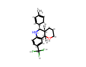 CC1=CCC([C@@H]2Nc3ccc(C(F)(F)F)cc3[C@H]3OCCC[C@H]32)C=C1